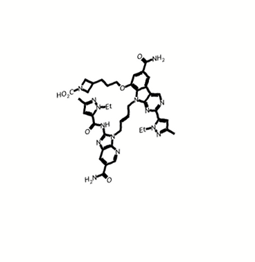 CCn1nc(C)cc1C(=O)Nc1nc2cc(C(N)=O)cnc2n1C/C=C/Cn1c2nc(-c3cc(C)nn3CC)ncc2c2cc(C(N)=O)cc(OCCCC3CN(C(=O)O)C3)c21